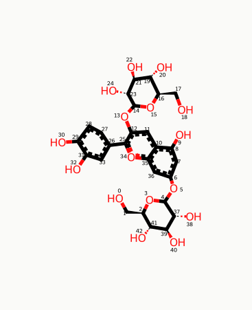 OC[C@H]1OC(Oc2cc(O)c3cc(OC4O[C@H](CO)[C@@H](O)[C@H](O)[C@H]4O)c(-c4ccc(O)c(O)c4)[o+]c3c2)[C@H](O)[C@@H](O)[C@@H]1O